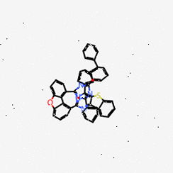 c1ccc(-c2cccc(-c3nc(-c4ccccc4)nc(-c4cccc5oc6cccc(-c7nc(-c8ccccc8)c8sc9ccccc9c8n7)c6c45)n3)c2)cc1